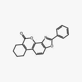 O=c1oc2c(ccc3oc(-c4ccccc4)nc32)c2c1CCCC2